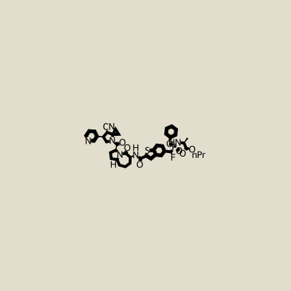 CCCOC(=O)[C@H](C)NP(=O)(Oc1ccccc1)[C@@H](F)c1ccc2sc(C(=O)N[C@H]3CCC[C@H]4CC[C@@H](C(=O)N5C[C@@H](c6cccnc6)[C@H](C#N)C56CC6)N4C3=O)cc2c1